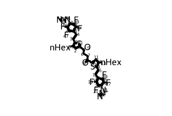 CCCCCCc1cc(C(=O)CCC(=O)c2cc(CCCCCC)c(/C=C/c3c(F)c(F)c(N=[N+]=[N-])c(F)c3F)s2)sc1/C=C/c1c(F)c(F)c(N=[N+]=[N-])c(F)c1F